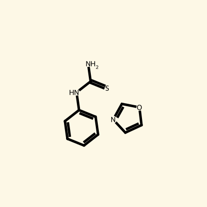 NC(=S)Nc1ccccc1.c1cocn1